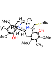 CCCCSC[C@H]1c2c(O)c(OC)c(C)c(OC)c2C[C@H]2[C@H]3c4c(O)c(OC)c(C)c(OC)c4C[C@@H]([C@H](C#N)N12)N3C